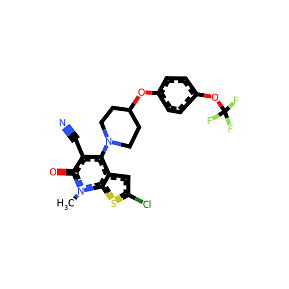 Cn1c(=O)c(C#N)c(N2CCC(Oc3ccc(OC(F)(F)F)cc3)CC2)c2cc(Cl)sc21